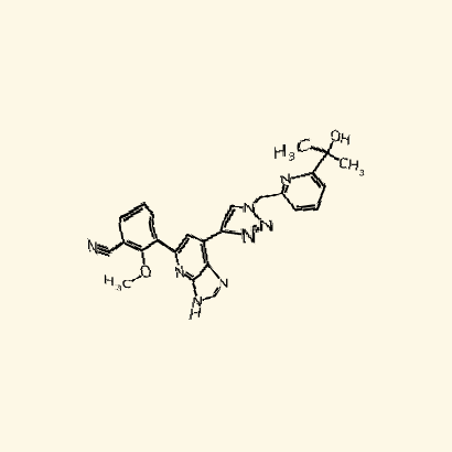 COc1c(C#N)cccc1-c1cc(-c2cn(Cc3cccc(C(C)(C)O)n3)nn2)c2nc[nH]c2n1